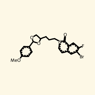 COc1ccc(C2OCC(CCCn3ccc4cc(Br)c(F)cc4c3=O)O2)cc1